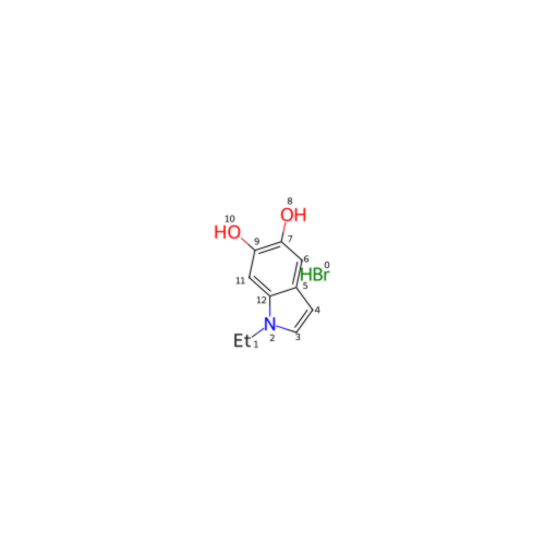 Br.CCn1ccc2cc(O)c(O)cc21